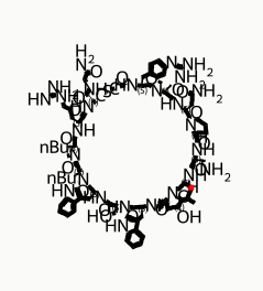 CCCC[C@H]1C(=O)N(C)[C@@H](CCCC)C(=O)N[C@@H](CCCNC(=N)N)C(=O)N[C@H](C(=O)NCC(N)=O)CSCC(=O)N[C@@H](Cc2ccc(N=C(N)N)cc2)C(=O)N(C)[C@@H](C)C(=O)N[C@@H](CC(N)=O)C(=O)N2CCC[C@H]2C(=O)N[C@@H](CN)C(=O)N[C@H]2CC(C)C3[C@H](O)C[C@@H](C(=O)N[C@@H](Cc4c[nH]c5ccccc45)C(=O)N[C@@H](CO)C(=O)N[C@@H](Cc4c[nH]c5ccccc45)C(=O)N1C)N3C2=O